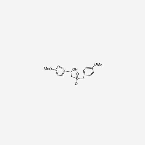 COc1ccc(CS(=O)(=O)CC(O)c2ccc(OC)cc2)cc1